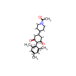 CC(=O)N1CCC(C2CC(=O)C(c3c(C)cc(C)cc3C)C(=O)C2)CC1